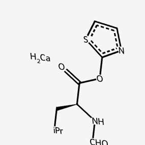 CC(C)C[C@H](NC=O)C(=O)Oc1nccs1.[CaH2]